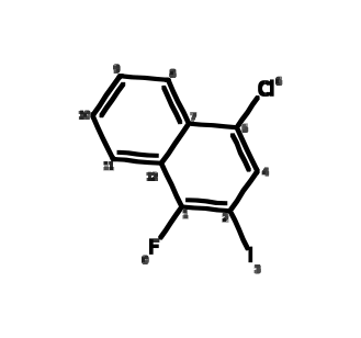 Fc1c(I)cc(Cl)c2ccccc12